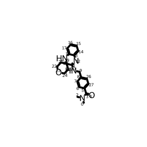 CN(C)C(=O)c1ccc(CNC2=Nc3ccccc3NC23CCOCC3)cc1